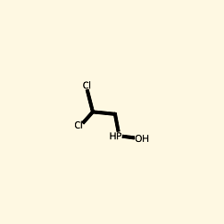 OPCC(Cl)Cl